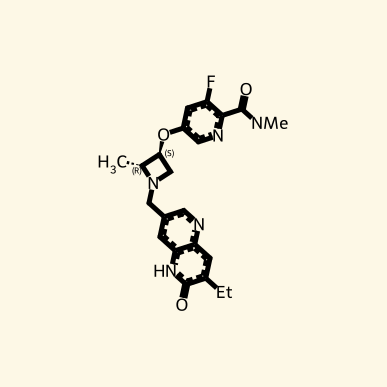 CCc1cc2ncc(CN3C[C@H](Oc4cnc(C(=O)NC)c(F)c4)[C@H]3C)cc2[nH]c1=O